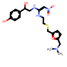 CN(C)Cc1ccc(CSCCNC(=C[N+](=O)[O-])NCC(O)c2ccc(O)cc2)o1